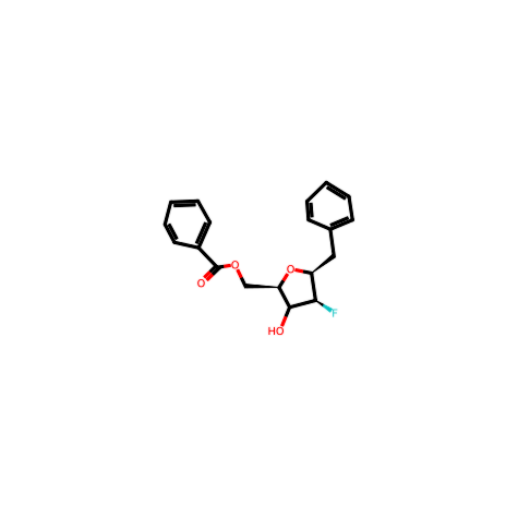 O=C(OC[C@H]1O[C@@H](Cc2ccccc2)[C@@H](F)C1O)c1ccccc1